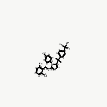 CC(C)(c1ccc(C(F)(F)F)cc1)c1cnc(SCc2c(F)cccc2Cl)n1-c1ccc(F)cc1